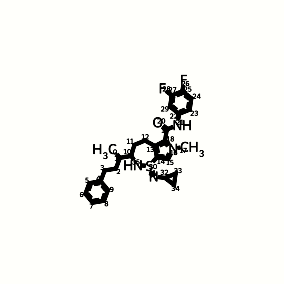 CC(CCc1ccccc1)C1CCc2c(cn(C)c2C(=O)Nc2ccc(F)c(F)c2)/S(=N\C2CC2)N1